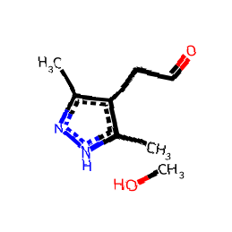 CO.Cc1n[nH]c(C)c1CC=O